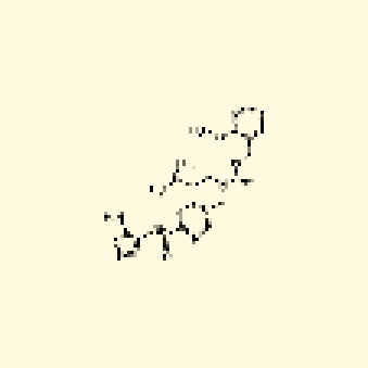 COc1ccccc1CNC(=O)N(CCN(C)C)Cc1ccc(C(=O)Nc2cscc2N)nc1